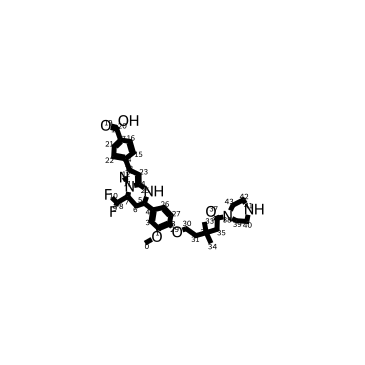 COc1cc(C2CC(C(F)F)n3nc(-c4ccc(C(=O)O)cc4)cc3N2)ccc1OCCC(C)(C)CC(=O)N1CCNCC1